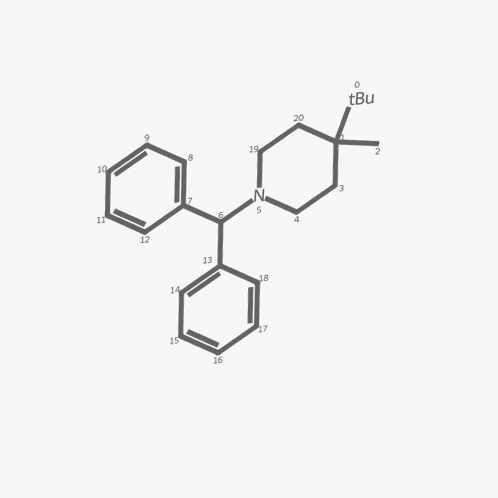 CC(C)(C)C1(C)CCN(C(c2ccccc2)c2ccccc2)CC1